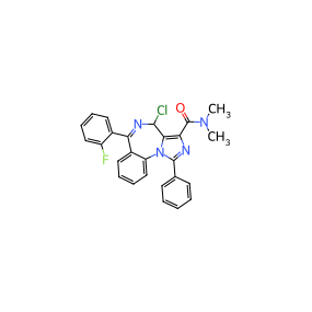 CN(C)C(=O)c1nc(-c2ccccc2)n2c1C(Cl)N=C(c1ccccc1F)c1ccccc1-2